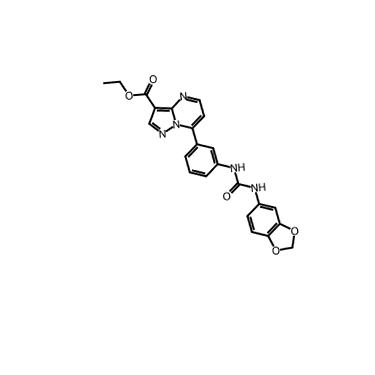 CCOC(=O)c1cnn2c(-c3cccc(NC(=O)Nc4ccc5c(c4)OCO5)c3)ccnc12